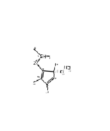 CC1=CC(C)[C]([Zr][SiH](C)C)=C1C.Cl.Cl